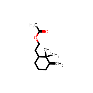 C=C1CCCC(CCOC(C)=O)C1(C)C